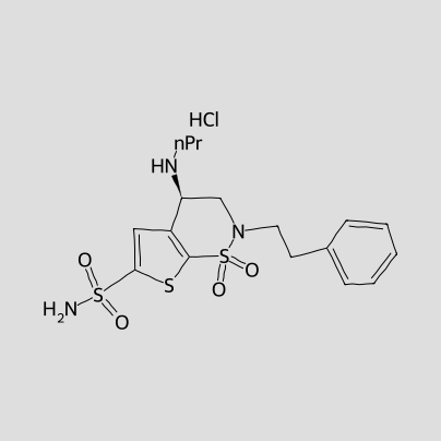 CCCN[C@H]1CN(CCc2ccccc2)S(=O)(=O)c2sc(S(N)(=O)=O)cc21.Cl